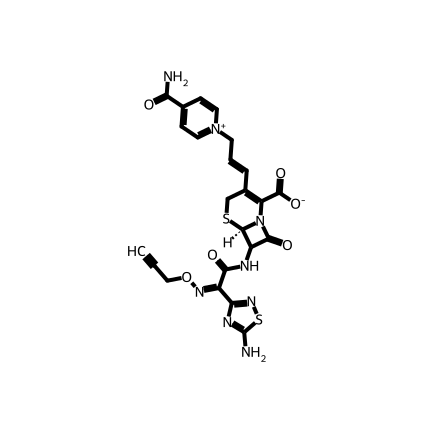 C#CCO/N=C(\C(=O)NC1C(=O)N2C(C(=O)[O-])=C(/C=C/C[n+]3ccc(C(N)=O)cc3)CS[C@H]12)c1nsc(N)n1